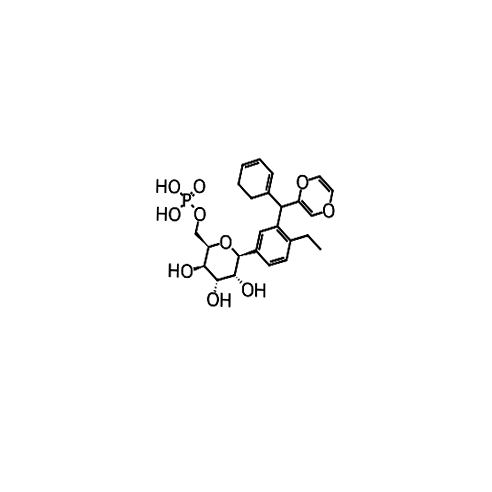 CCc1ccc([C@@H]2O[C@H](COP(=O)(O)O)[C@H](O)[C@@H](O)[C@H]2O)cc1C(C1=CC=CCC1)C1=COC=CO1